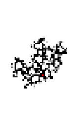 CC1C=CC2(C)C3=C1C1(C)Sc4ccccc4C1=CC3(C)N(c1ccc3c(c1)C1(CCC4(CC1)c1ccccc1-c1ccccc14)c1ccccc1-3)c1ccccc12